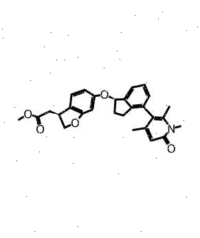 COC(=O)C[C@@H]1COc2cc(O[C@@H]3CCc4c(-c5c(C)cc(=O)n(C)c5C)cccc43)ccc21